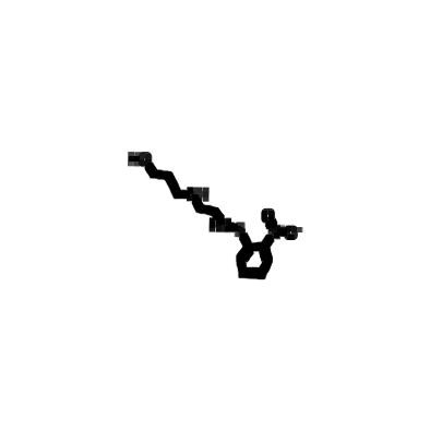 O=[N+]([O-])c1ccccc1SNCCNCCCO